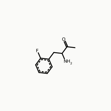 CC(=O)C(N)Cc1ccccc1F